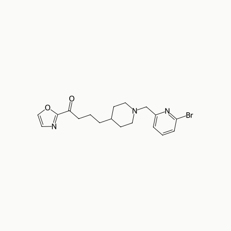 O=C(CCCC1CCN(Cc2cccc(Br)n2)CC1)c1ncco1